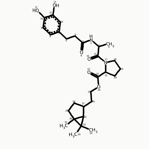 CC(NC(=O)CCc1ccc(O)c(O)c1)C(=O)N1CCCC1C(=O)OCCC1CCC2(C)C1C2(C)C